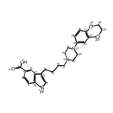 O=C(O)c1ccc2[nH]cc(CCCCN3CCN(c4ccc5c(c4)OCCO5)CC3)c2c1